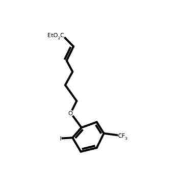 CCOC(=O)C=CCCCOc1cc(C(F)(F)F)ccc1I